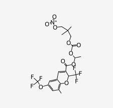 Cc1cc(OC(F)(F)F)cc2c1OC(C(F)(F)F)C(C(=O)OC(C)OC(=O)OCC(C)(C)CO[N+](=O)[O-])=C2